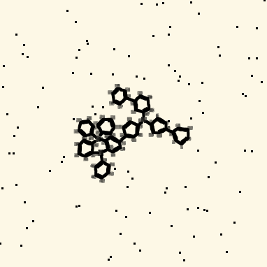 c1ccc(-c2ccc(N(c3ccc(-c4ccc5c(c4)[Si](c4ccccc4)(c4ccccc4)c4ccccc4N5c4ccccc4)cc3)c3cccc(-c4ccccc4)c3)cc2)cc1